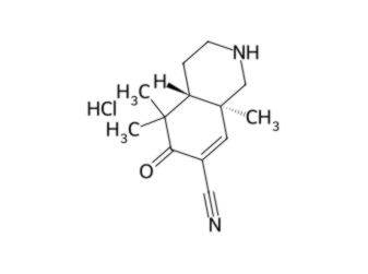 CC1(C)C(=O)C(C#N)=C[C@]2(C)CNCC[C@@H]12.Cl